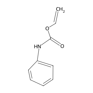 C=COC(=O)Nc1ccccc1